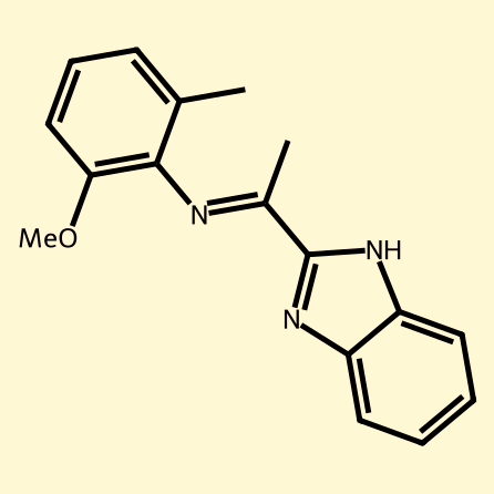 COc1cccc(C)c1N=C(C)c1nc2ccccc2[nH]1